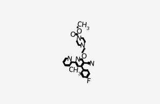 CCOC(=O)N1CCN(CCOc2nc(-c3ncccc3C)cc(-c3ccc(F)cc3)c2C#N)CC1